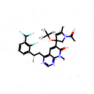 BC(B)(B)OC1(c2cc3c(C[C@H](C)c4cccc(C(F)F)c4F)ncnc3n(C)c2=O)C=C(C)N(C(C)=O)C1